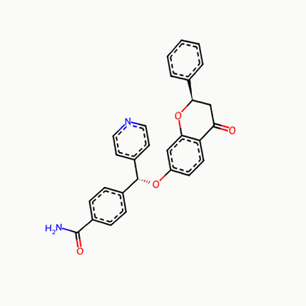 NC(=O)c1ccc([C@@H](Oc2ccc3c(c2)O[C@@H](c2ccccc2)CC3=O)c2ccncc2)cc1